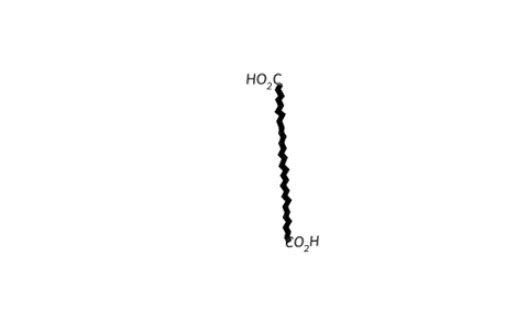 O=C(O)CCCCCCCCCCCCCCCCCCCCCCCCCCCCCCC(=O)O